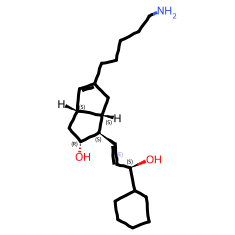 NCCCCCC1=C[C@H]2C[C@@H](O)[C@H](/C=C/[C@@H](O)C3CCCCC3)[C@H]2C1